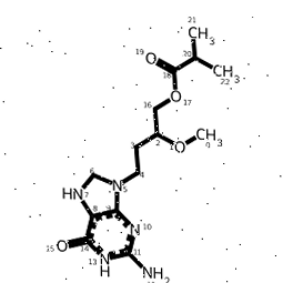 COC(CCN1CNc2c1nc(N)[nH]c2=O)COC(=O)C(C)C